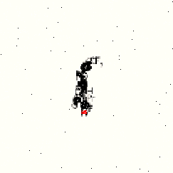 CC(C)c1cc(F)c(N(C)C)cc1N1C(=O)CS/C1=N\C(=O)Nc1ccc(-c2nnc(-c3ccc(OC(F)(F)F)cc3)o2)cc1F